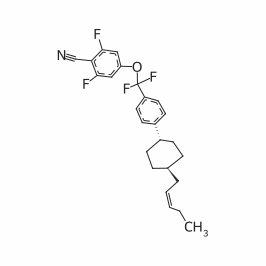 CC/C=C\C[C@H]1CC[C@H](c2ccc(C(F)(F)Oc3cc(F)c(C#N)c(F)c3)cc2)CC1